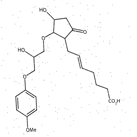 COc1ccc(OCC(O)COC2C(O)CC(=O)C2CC=CCCCC(=O)O)cc1